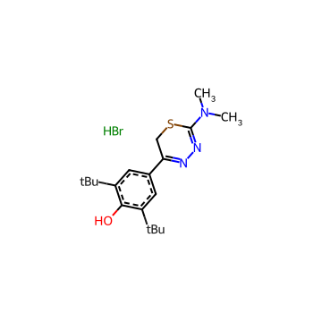 Br.CN(C)C1=NN=C(c2cc(C(C)(C)C)c(O)c(C(C)(C)C)c2)CS1